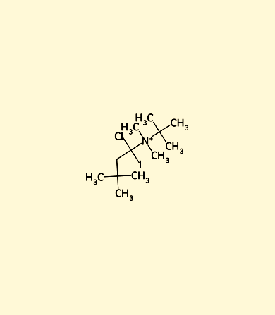 CC(C)(C)CC(Cl)(I)[N+](C)(C)C(C)(C)C